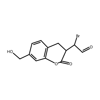 O=CC(Br)C1Cc2ccc(CO)cc2OC1=O